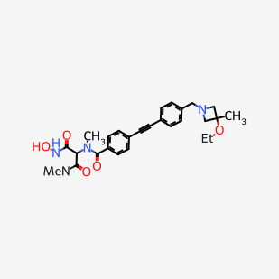 CCOC1(C)CN(Cc2ccc(C#Cc3ccc(C(=O)N(C)C(C(=O)NC)C(=O)NO)cc3)cc2)C1